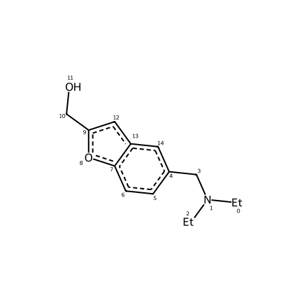 CCN(CC)Cc1ccc2oc(CO)cc2c1